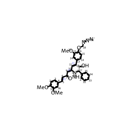 COc1ccc(/C=C/C(=O)/C=C(/C=C/c2ccc(OCN=[N+]=[N-])c(OC)c2)N(N)[C@H](CO)c2ccccc2)cc1OC